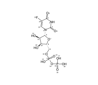 O=c1[nH]c(=O)n([C@@H]2O[C@H](COP(=O)(O)OP(=O)(O)O)[C@@H](O)[C@H]2O)cc1F